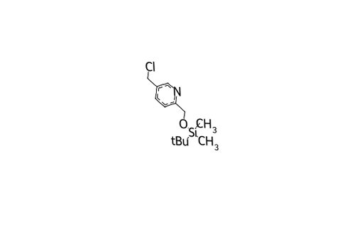 CC(C)(C)[Si](C)(C)OCc1ccc(CCl)cn1